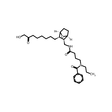 CCCN(CCCC(=O)NC[C@H]1[C@@H](CCCCCCC(=O)CO)[C@H]2CC[C@@H]1O2)C(=O)c1ccccc1